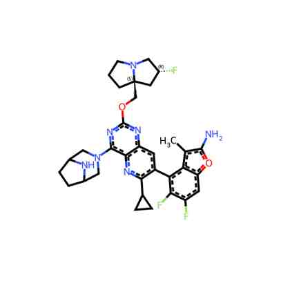 Cc1c(N)oc2cc(F)c(F)c(-c3cc4nc(OC[C@@]56CCCN5C[C@H](F)C6)nc(N5CC6CCC(C5)N6)c4nc3C3CC3)c12